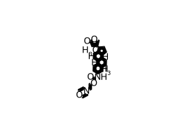 C[C@]12CC[C@H](NC(=O)OCCN3CCOCC3)C[C@H]1CC[C@@H]1[C@@H]2CC[C@]2(C)[C@@H](C3=CC(=O)OC3)CC[C@]12O